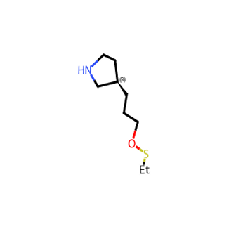 CCSOCCC[C@@H]1CCNC1